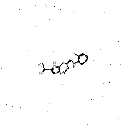 N=N/C(=C\Nc1ccccc1F)Cc1ccc(C(=N)N)[nH]1